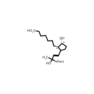 CCCCCC(C)(O)C=CC1CC[C@@H](O)[C@@H]1CCCCCCC(=O)O